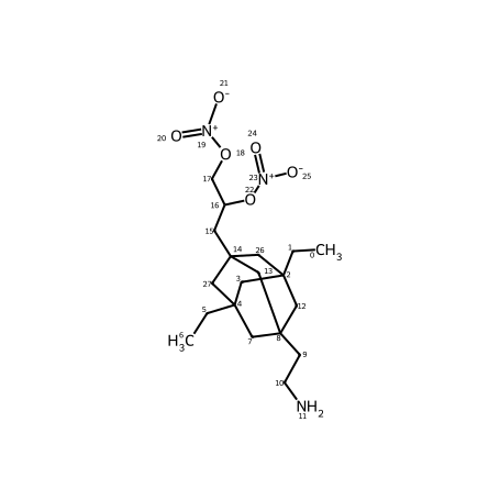 CCC12CC3(CC)CC(CCN)(C1)CC(CC(CO[N+](=O)[O-])O[N+](=O)[O-])(C2)C3